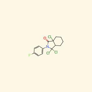 O=C1N(c2ccc(F)cc2)C(Cl)(Cl)C2CCCCC12Cl